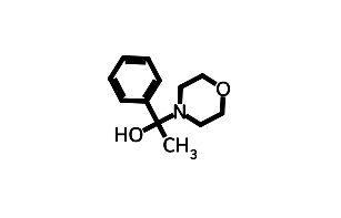 CC(O)(c1ccccc1)N1CCOCC1